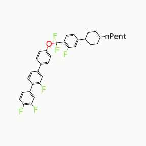 CCCCCC1CCC(c2ccc(C(F)(F)Oc3ccc(-c4ccc(-c5ccc(F)c(F)c5)c(F)c4)cc3)c(F)c2)CC1